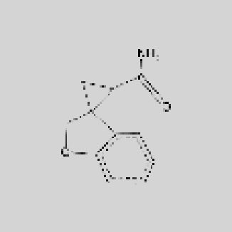 NC(=O)C1CC12COc1ccccc12